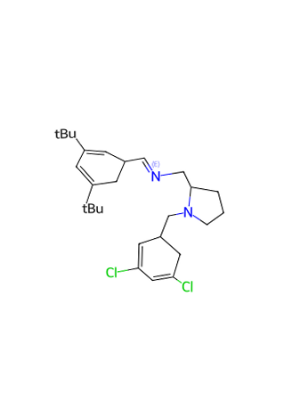 CC(C)(C)C1=CC(/C=N/CC2CCCN2CC2C=C(Cl)C=C(Cl)C2)CC(C(C)(C)C)=C1